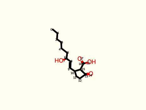 CCCCCCC(O)C=CC1CCC(=O)C1C(=O)O